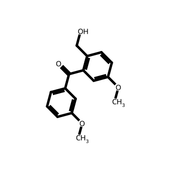 COc1cccc(C(=O)c2cc(OC)ccc2CO)c1